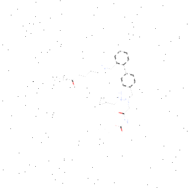 CCCCOC(=O)NC(=O)CN(Cc1ccc(-c2ccccc2CNCCCCC(=O)NC)cc1)NCC1CC1